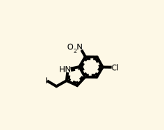 O=[N+]([O-])c1cc(Cl)cc2cc(CI)[nH]c12